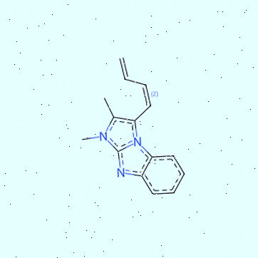 C=C/C=C\c1c(C)n(C)c2nc3ccccc3n12